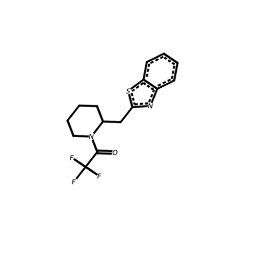 O=C(N1CCCCC1Cc1nc2ccccc2s1)C(F)(F)F